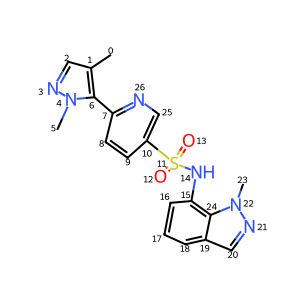 Cc1cnn(C)c1-c1ccc(S(=O)(=O)Nc2cccc3cnn(C)c23)cn1